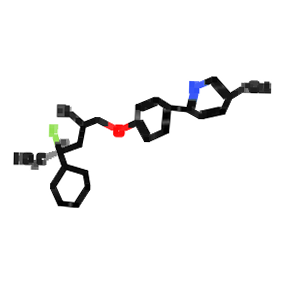 CCCCCCCCc1ccc(-c2ccc(OCC(CC)C[C@@](F)(C(=O)O)C3CCCCC3)cc2)nc1